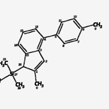 CC1=Cc2c(-c3ccc(C)cc3)cccc2C1[Si](C)(C)Cl